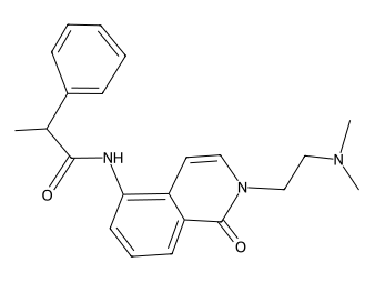 CC(C(=O)Nc1cccc2c(=O)n(CCN(C)C)ccc12)c1ccccc1